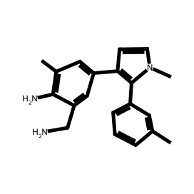 Cc1cccc(-c2c(-c3cc(C)c(N)c(CN)c3)ccn2C)c1